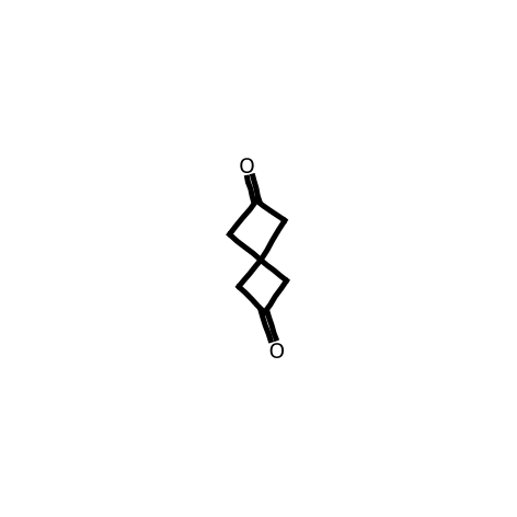 O=C1CC2(C1)CC(=O)C2